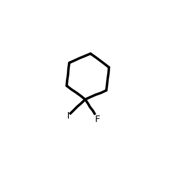 FC1(I)CCCCC1